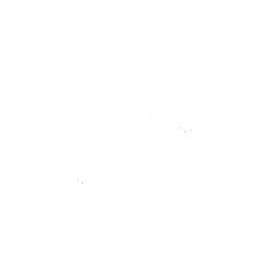 CC(=O)O.CC(=O)[O-].CC(=O)[O-].[Na+].[Na+]